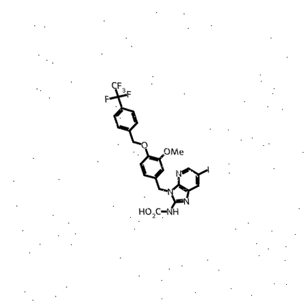 COc1cc(Cn2c(NC(=O)O)nc3cc(I)cnc32)ccc1OCc1ccc(C(F)(F)C(F)(F)F)cc1